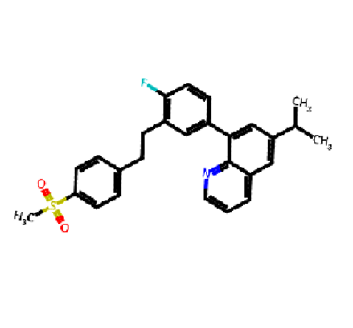 CC(C)c1cc(-c2ccc(F)c(CCc3ccc(S(C)(=O)=O)cc3)c2)c2ncccc2c1